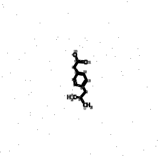 CC(C)Cc1ccc(CC([O])=O)cc1